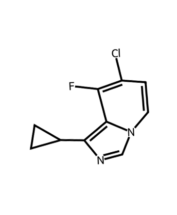 Fc1c(Cl)ccn2cnc(C3CC3)c12